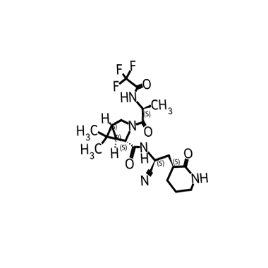 C[C@H](NC(=O)C(F)(F)F)C(=O)N1C[C@H]2[C@@H]([C@H]1C(=O)N[C@H](C#N)C[C@@H]1CCCNC1=O)C2(C)C